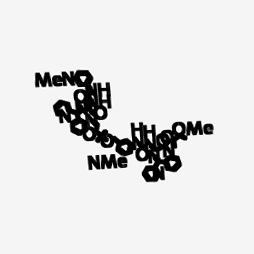 CNc1cc(COC(C)(C)C(=O)CN2C(=O)C(NC(=O)Nc3cccc(NC)c3)N=C(c3ccccn3)c3ccccc32)cc(NC(=O)NC2N=C(c3ccccn3)c3ccccc3N(CC(=O)C(C)OC)C2=O)c1